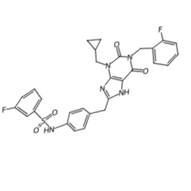 O=c1c2[nH]c(Cc3ccc(NS(=O)(=O)c4cccc(F)c4)cc3)nc2n(CC2CC2)c(=O)n1Cc1ccccc1F